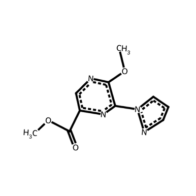 COC(=O)c1cnc(OC)c(-n2cccn2)n1